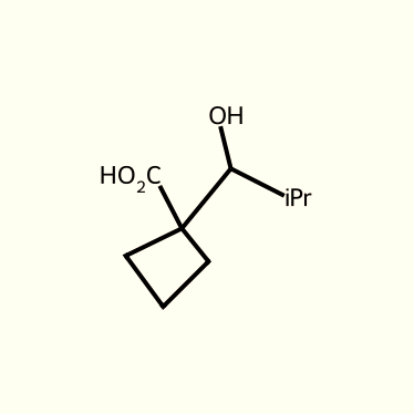 CC(C)C(O)C1(C(=O)O)CCC1